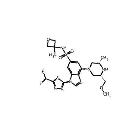 COC[C@@H]1CN(c2cc(S(=O)(=O)NC3(C)COC3)cc3c2ncn3-c2nnc(C(F)F)s2)C[C@H](C)N1